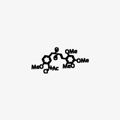 COc1cc(OC)c(C=CS(=O)(=O)Cc2ccc(OC)c(N(Cl)C(C)=O)c2)c(OC)c1